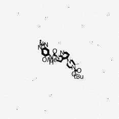 COc1cc2nn(C)nc2cc1NC(=O)N1CCc2c(N3CCN(C(=O)OC(C)(C)C)[C@@H](C)C3)ccnc21